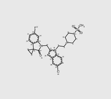 CS(=O)(=O)N1CCN(CCn2c(CN3C(=O)C4(CC4)c4ccc(F)cc43)nc3cc(Cl)ccc32)CC1